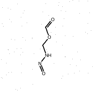 O=COCNN=O